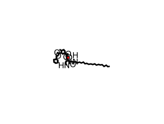 CCCCCCCCCCCCCCCCCCNC(=O)CC1CNCCN1C(=O)OC(=O)c1ccc(C)c(C(=O)OCc2ccccc2)c1